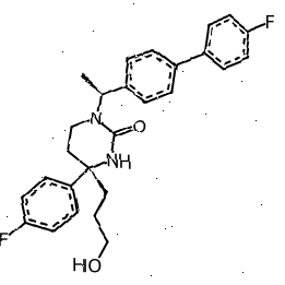 C[C@@H](c1ccc(-c2ccc(F)cc2)cc1)N1CC[C@@](CCCO)(c2ccc(F)cc2)NC1=O